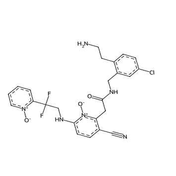 N#Cc1ccc(NCC(F)(F)c2cccc[n+]2[O-])[n+]([O-])c1CC(=O)NCc1cc(Cl)ccc1CCN